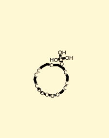 C1CCCCCCCOOOOOCCCCCC1.O=P(O)(O)O